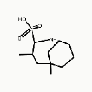 CC(CC1(C)CCCCC1)C(N)S(=O)(=O)O